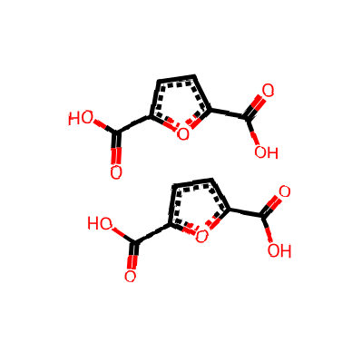 O=C(O)c1ccc(C(=O)O)o1.O=C(O)c1ccc(C(=O)O)o1